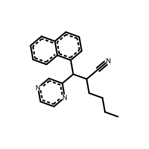 CCCCC(C#N)C(c1cnccn1)c1cccc2ccccc12